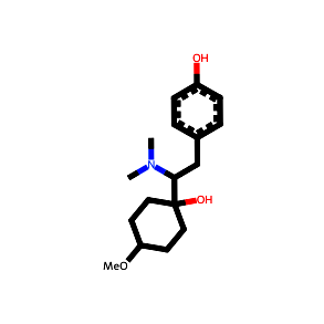 COC1CCC(O)(C(Cc2ccc(O)cc2)N(C)C)CC1